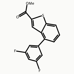 COC(=O)c1cc2c(-c3cc(F)cc(F)c3)cccc2s1